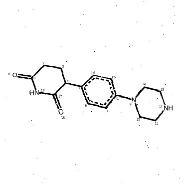 O=C1CCC(c2ccc(N3CCNCC3)cc2)C(=O)N1